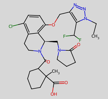 CCn1nnc(COc2ccc(Cl)c3c2[C@@H](CN2CCCC2=O)N(C(=O)C2CCCCC2(C)C(=O)O)CC3)c1C(F)F